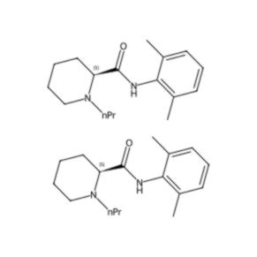 CCCN1CCCC[C@H]1C(=O)Nc1c(C)cccc1C.CCCN1CCCC[C@H]1C(=O)Nc1c(C)cccc1C